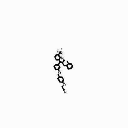 Cc1ccccc1Cc1cnc2c(C(F)(F)F)cccc2c1-c1cccc(OCc2ccc(OCC#N)cc2)c1